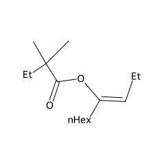 CCC=C(CCCCCC)OC(=O)C(C)(C)CC